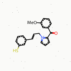 COc1cccc(C(=O)c2cccn2C/C=C/c2cccc(S)c2)c1